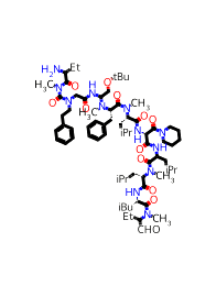 CCC(N)C(=O)N(C)C(=O)N(CCc1ccccc1)CC(=O)NC(COC(C)(C)C)N(C)[C@@H](Cc1ccccc1)C(=O)N(C)[C@@H](CC(C)C)C(=O)N[C@@H](C(=O)NC(CC(C)C)C(=O)N(C)[C@@H](CC(C)C)C(=O)N[C@H](C(=O)N(C)C(C=O)CC)[C@@H](C)CC)C(=O)N1CCCCC1